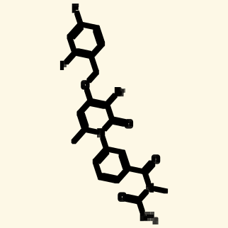 Cc1cc(OCc2ccc(F)cc2F)c(Br)c(=O)n1-c1cccc(C(=O)N(C)C(N)=O)c1